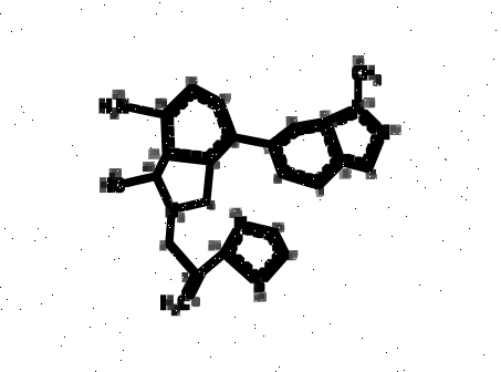 C=C(CN1Cc2c(-c3ccc4cnn(C)c4c3)ccc(N)c2C1O)c1nccs1